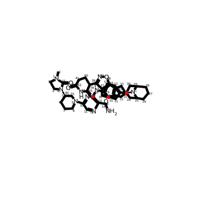 CN1CCN([C@@H]2CCCN(c3cnc(C(N)=O)c(Nc4ccc(C5CC6CCCC(C5)N6[C@H]5Cc6ccc7c(C8CCC(=O)NC8=O)noc7c6C5)cc4)n3)C2)C1=O